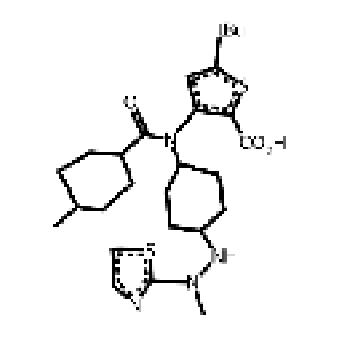 CC1CCC(C(=O)N(c2cc(C(C)(C)C)sc2C(=O)O)C2CCC(NN(C)c3nccs3)CC2)CC1